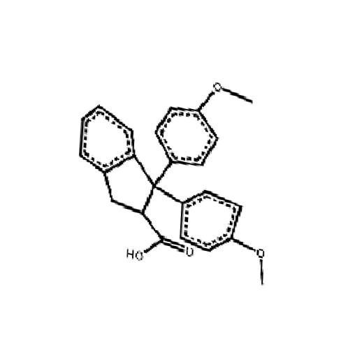 COc1ccc(C2(c3ccc(OC)cc3)c3ccccc3CC2C(=O)O)cc1